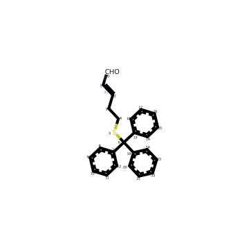 O=C/C=C/CCSC(c1ccccc1)(c1ccccc1)c1ccccc1